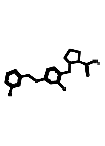 NC(=O)[C@@H]1CCCN1Cc1ccc(OCc2cccc(Cl)c2)cc1Cl